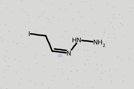 NN/N=C\CI